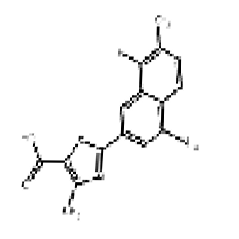 Cc1ccc2c(N)cc(-c3nc(C)c(C(=O)O)s3)cc2c1F